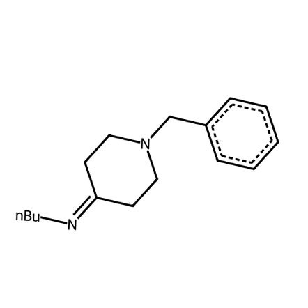 CCCCN=C1CCN(Cc2ccccc2)CC1